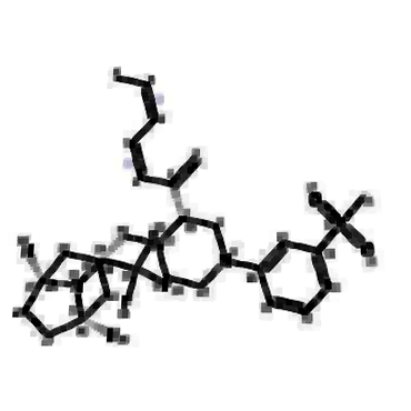 C=C(/C=C\C=C/C)[C@@H]1CN(c2cccc(S(C)(=O)=O)c2)CCN1C[C@@H]1C[C@H]2CC[C@@H](C1)N2CC(F)(F)F